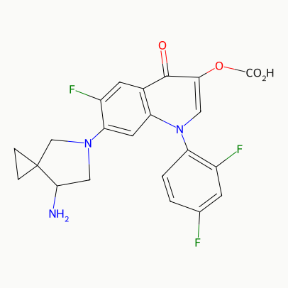 NC1CN(c2cc3c(cc2F)c(=O)c(OC(=O)O)cn3-c2ccc(F)cc2F)CC12CC2